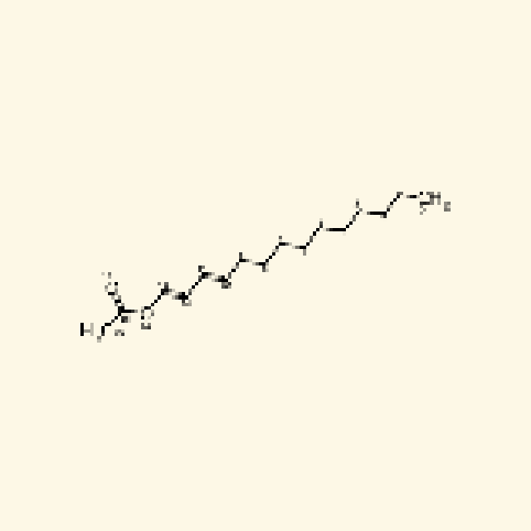 CCCCCCCCCC/C=C/C=COC(C)=O